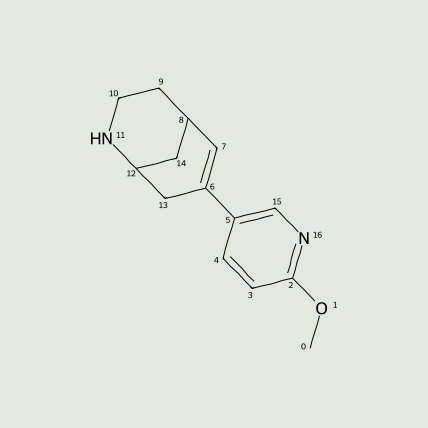 COc1ccc(C2=CC3CCNC(C2)C3)cn1